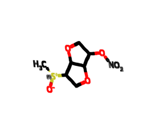 C[S@@+]([O-])C1COC2C(O[N+](=O)[O-])COC21